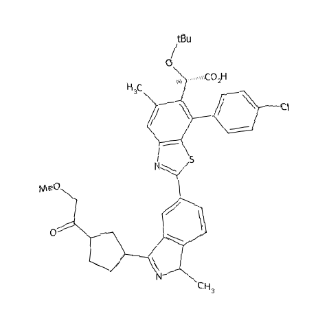 COCC(=O)C1CCC(C2=NC(C)c3ccc(-c4nc5cc(C)c([C@H](OC(C)(C)C)C(=O)O)c(-c6ccc(Cl)cc6)c5s4)cc32)C1